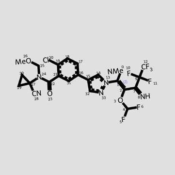 CN/C(=C(/OC(F)F)C(=N)C(F)(F)C(F)(F)F)n1cc(-c2ccc(Cl)c(C(=O)N(COC)C3(C#N)CC3)c2)cn1